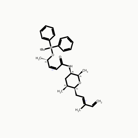 C=C/C(C)=C/C[C@@H]1O[C@H](C)[C@H](NC(=O)/C=C\[C@H](C)O[Si](c2ccccc2)(c2ccccc2)C(C)(C)C)C[C@@H]1C